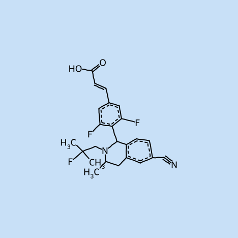 CC1Cc2cc(C#N)ccc2C(c2c(F)cc(/C=C/C(=O)O)cc2F)N1CC(C)(C)F